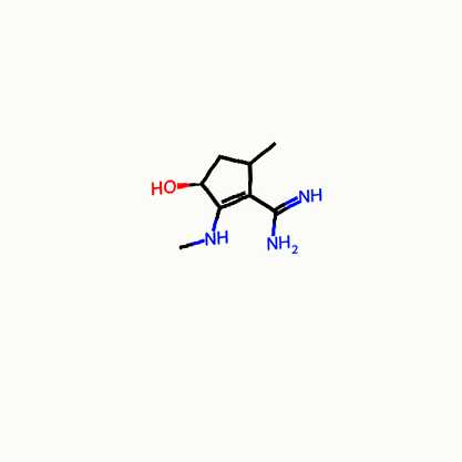 CNC1=C(C(=N)N)C(C)C[C@@H]1O